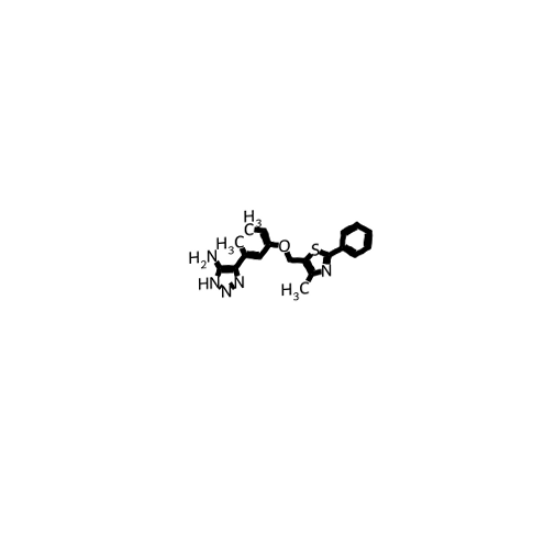 C/C=C(\C=C(/C)c1nn[nH]c1N)OCc1sc(-c2ccccc2)nc1C